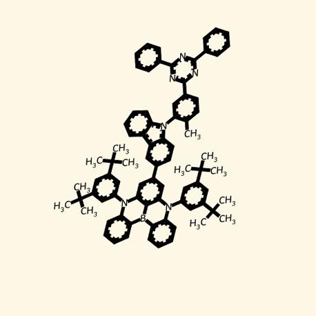 Cc1ccc(-c2nc(-c3ccccc3)nc(-c3ccccc3)n2)cc1-n1c2ccccc2c2cc(-c3cc4c5c(c3)N(c3cc(C(C)(C)C)cc(C(C)(C)C)c3)c3ccccc3B5c3ccccc3N4c3cc(C(C)(C)C)cc(C(C)(C)C)c3)ccc21